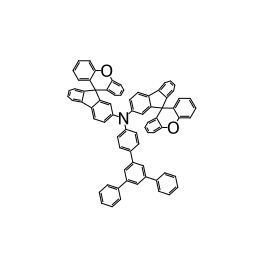 c1ccc(-c2cc(-c3ccccc3)cc(-c3ccc(N(c4ccc5c(c4)C4(c6ccccc6Oc6ccccc64)c4ccccc4-5)c4ccc5c(c4)C4(c6ccccc6Oc6ccccc64)c4ccccc4-5)cc3)c2)cc1